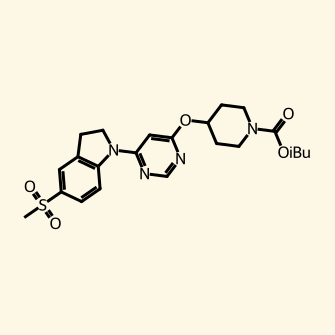 CC(C)COC(=O)N1CCC(Oc2cc(N3CCc4cc(S(C)(=O)=O)ccc43)ncn2)CC1